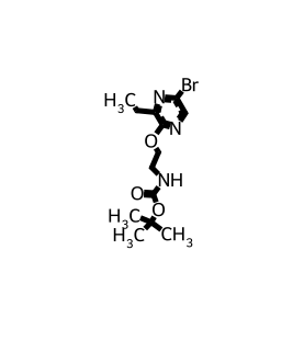 CCc1nc(Br)cnc1OCCNC(=O)OC(C)(C)C